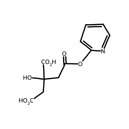 O=C(O)CC(O)(CC(=O)Oc1ccccn1)C(=O)O